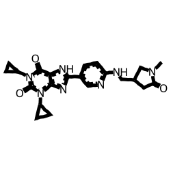 CN1CC(CNc2ccc(-c3nc4c([nH]3)c(=O)n(C3CC3)c(=O)n4C3CC3)cn2)CC1=O